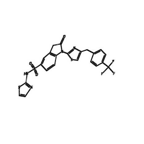 O=C1Cc2cc(S(=O)(=O)Nc3nccs3)ccc2N1c1nc(Cc2ccc(C(F)(F)F)cc2)cs1